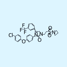 O=C1N(CCS(=O)(=O)N2CCC2)C[C@H](c2cccc(C(F)(F)F)c2)N1c1ccc(Oc2ccc(Cl)cc2)cc1